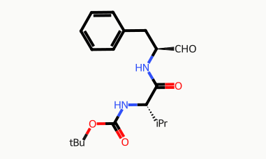 CC(C)[C@H](NC(=O)OC(C)(C)C)C(=O)N[C@H](C=O)Cc1ccccc1